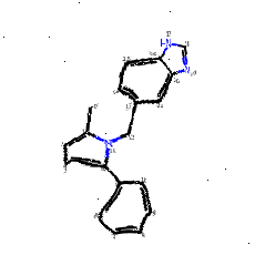 Cc1[c]cc(-c2ccccc2)n1Cc1ccc2[nH]cnc2c1